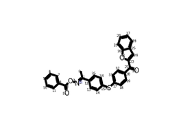 C/C(=N\OC(=O)c1ccccc1)c1ccc(Sc2ccc(C(=O)c3cc4ccccc4o3)cc2)cc1